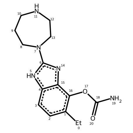 CCc1ccc2[nH]c(N3CCCNCC3)nc2c1OC(N)=O